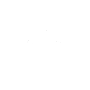 COC(CF)(C(F)(F)F)C(F)(F)F